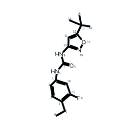 CCc1ccc(NC(=O)Nc2cc(C(C)(C)C)on2)cc1F